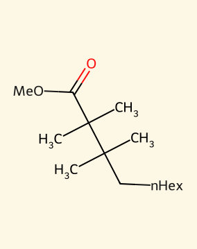 CCCCCCCC(C)(C)C(C)(C)C(=O)OC